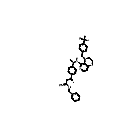 CC(Nc1nccc2c1N(Cc1ccc(C(C)(F)F)cc1)CCO2)c1ccc(C(=O)CC(=N)OCc2ccccc2)cc1